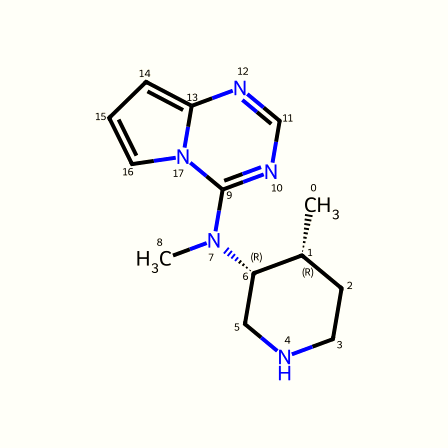 C[C@@H]1CCNC[C@@H]1N(C)c1ncnc2cccn12